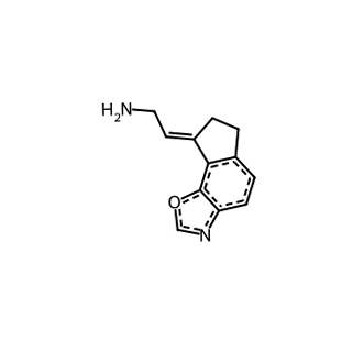 NCC=C1CCc2ccc3ncoc3c21